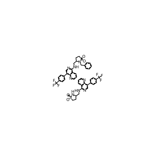 O=S1(=O)CCC(CNc2ncc(-c3ccc(C(F)(F)F)cc3)c3ncccc23)N1.O=S1(=O)CCC(CNc2ncc(-c3ccc(C(F)(F)F)cc3)c3ncccc23)N1Cc1ccccc1